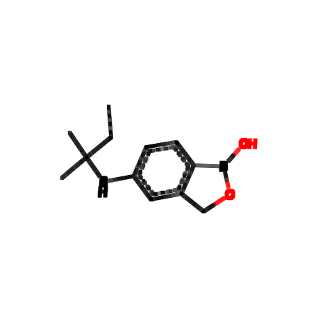 CCC(C)(C)Bc1ccc2c(c1)COB2O